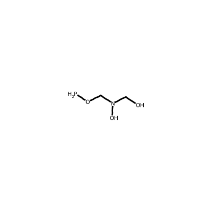 OCN(O)COP